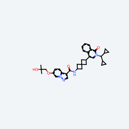 CC(C)(O)COc1ccc2c(C(=O)NC3CC4(C3)CC(c3cn(C(C5CC5)C5CC5)c(=O)c5ccccc35)C4)cnn2c1